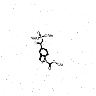 COP(=O)(CC(=O)c1ccc2c(cnn2C(=O)OC(C)(C)C)c1)OC